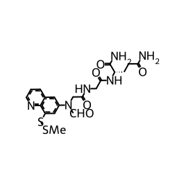 CSSc1cc(N(C=O)CC(=O)NCC(=O)N[C@@H](CCC(N)=O)C(N)=O)cc2cccnc12